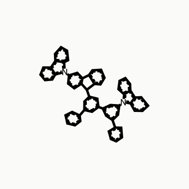 c1ccc(-c2cc(-c3cc(-c4ccccc4)cc(-n4c5ccccc5c5ccccc54)c3)cc(C3c4ccccc4-c4cc(-n5c6ccccc6c6ccccc65)ccc43)c2)cc1